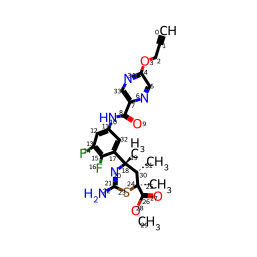 C#CCOc1cnc(C(=O)Nc2cc(F)c(F)c([C@@]3(C)N=C(N)S[C@](C)(C(=O)OC)[C@H]3C)c2)cn1